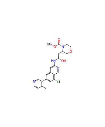 Cc1ccncc1-c1cc(Cl)c2cnc(NC(O)CC3COCCN3C(=O)OC(C)(C)C)cc2c1